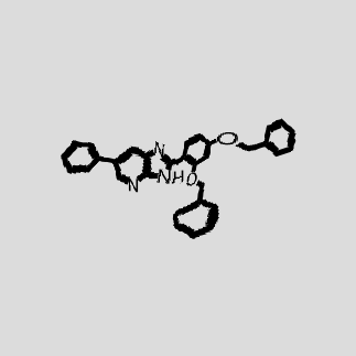 c1ccc(COc2ccc(-c3nc4cc(-c5ccccc5)cnc4[nH]3)c(OCc3ccccc3)c2)cc1